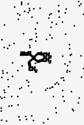 C=C[Si](C=C)(C=C)NC